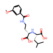 COc1cccc(C(=O)NCC[C@H](N[C@@H](CC(C)C)C(=O)O)C(=O)O)c1